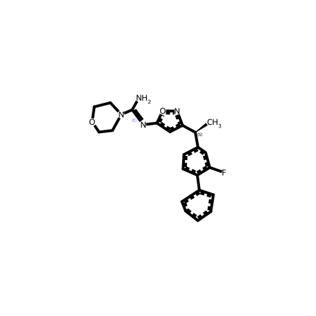 C[C@@H](c1ccc(-c2ccccc2)c(F)c1)c1cc(/N=C(\N)N2CCOCC2)on1